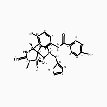 CN1C(=N)N[C@](C)(c2cc(NC(=O)c3ccc(F)cn3)ccc2F)[C@@]2(CCN(Cc3cnco3)C2)S1(=O)=O